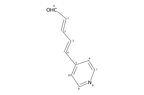 O=CC=CC=Cc1ccncc1